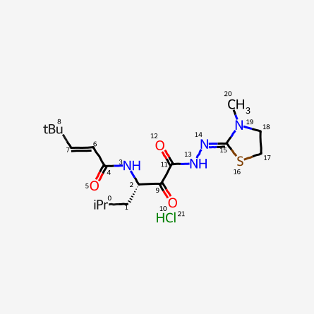 CC(C)C[C@H](NC(=O)/C=C/C(C)(C)C)C(=O)C(=O)N/N=C1\SCCN1C.Cl